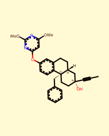 CC#C[C@@]1(O)CC[C@@]2(Cc3ccccc3)c3ccc(Oc4cc(OC)nc(OC)n4)cc3CC[C@@H]2C1